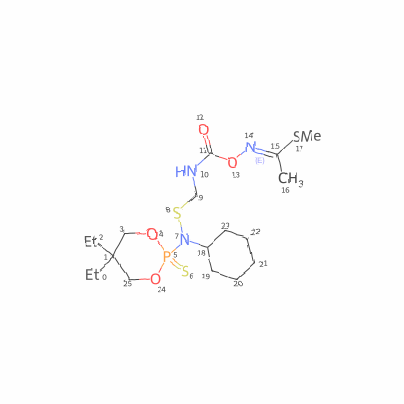 CCC1(CC)COP(=S)(N(SCNC(=O)O/N=C(\C)SC)C2CCCCC2)OC1